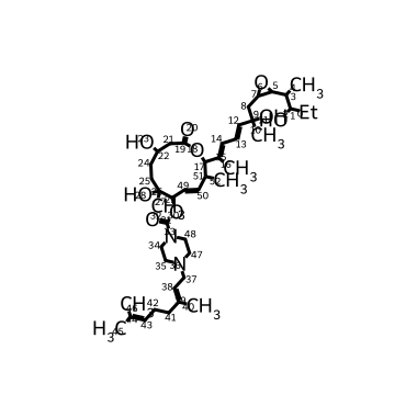 CCC(O)C(C)C1OC1CC(C)(O)/C=C/C=C(\C)C1OC(=O)CC(O)CCC(C)(O)C(OC(=O)N2CCN(C/C=C(\C)CCC=C(C)C)CC2)/C=C/C1C